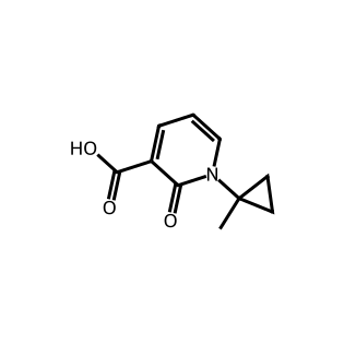 CC1(n2cccc(C(=O)O)c2=O)CC1